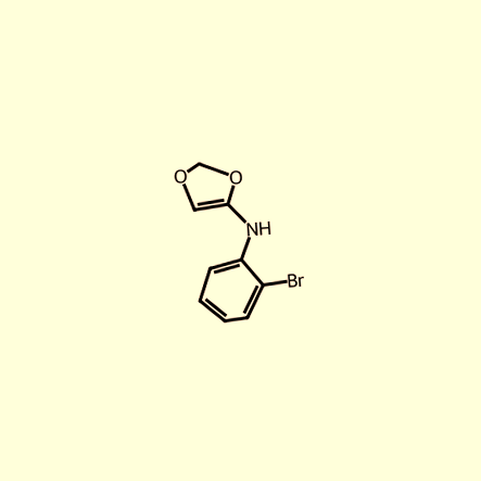 Brc1ccccc1NC1=COCO1